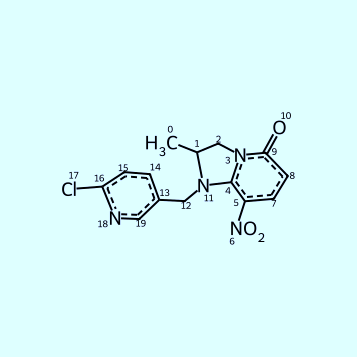 CC1Cn2c(c([N+](=O)[O-])ccc2=O)N1Cc1ccc(Cl)nc1